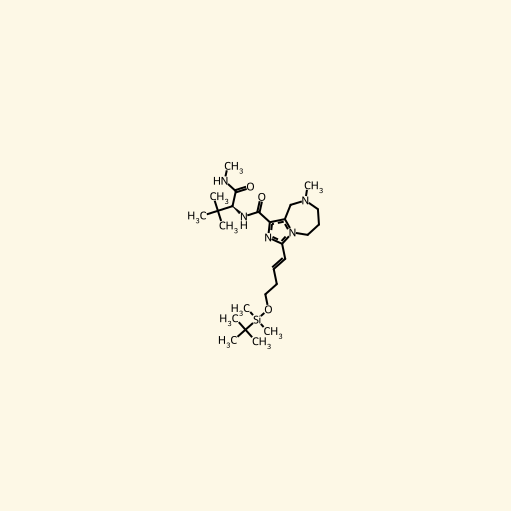 CNC(=O)[C@@H](NC(=O)c1nc(C=CCCO[Si](C)(C)C(C)(C)C)n2c1CN(C)CCC2)C(C)(C)C